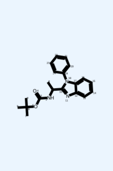 CC(NC(=O)OC(C)(C)C)c1nc2ccccc2n1-c1ccccc1